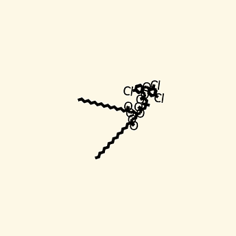 CCCCCCCCCCCCCCCC(=O)OCC(COC(=O)CCCCCCCCCCCCCCC)OC(=O)CC(C)(C)CC(=O)Oc1cc(Cl)ccc1Oc1ccc(Cl)cc1Cl